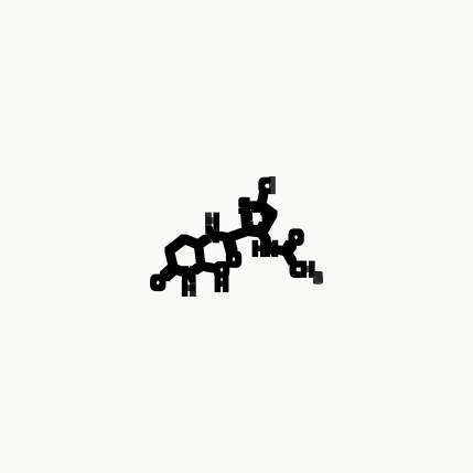 CC(=O)Nc1cc(Cl)sc1C(=O)NC1CCC(=O)NC1O